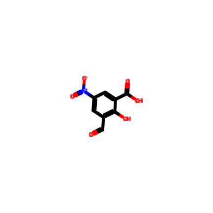 O=Cc1cc([N+](=O)[O-])cc(C(=O)O)c1O